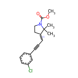 COC(=O)N1CC/C(=C\C#Cc2cccc(Cl)c2)C1(C)C